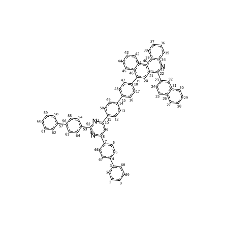 c1ccc(-c2ccc(-c3cc(-c4ccc(-c5ccc(-c6cc7c(-c8ccc9ccccc9c8)nc8ccccc8c7c7ccccc67)cc5)cc4)nc(-c4ccc(-c5ccccc5)cc4)n3)cc2)cc1